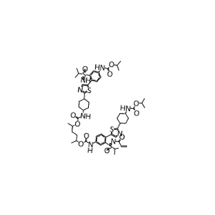 C=CC(=O)N=S(=O)(c1cc(NC(=O)OC(C)CCC(C)OC(=O)NC2CCC(c3ncc(-c4ccc(NC(=O)OC(C)C)cc4S(=N)(=O)C(C)C)s3)CC2)ccc1-c1cnc(C2CCC(NC(=O)OC(C)C)CC2)s1)C(C)C